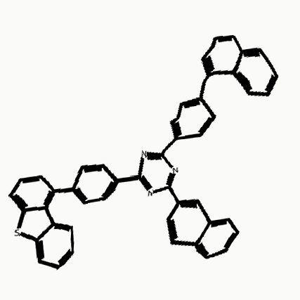 c1ccc2cc(-c3nc(-c4ccc(-c5cccc6ccccc56)cc4)nc(-c4ccc(-c5cccc6sc7ccccc7c56)cc4)n3)ccc2c1